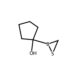 OC1(B2CS2)CCCC1